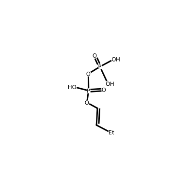 CCC=COP(=O)(O)OP(=O)(O)O